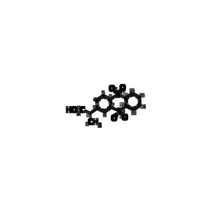 CC(C(=O)O)c1ccc2c(c1)S(=O)(=O)c1ccccc1S2(=O)=O